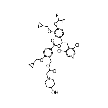 O=C(CN1CCC(O)CC1)OCc1cc(C(=O)O[C@@H](Cc2c(Cl)cncc2Cl)c2ccc(OC(F)F)c(OCC3CC3)c2)ccc1OCC1CC1